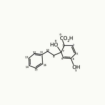 O=C(O)C1C=CC(O)=CC1(O)CCc1ccccc1